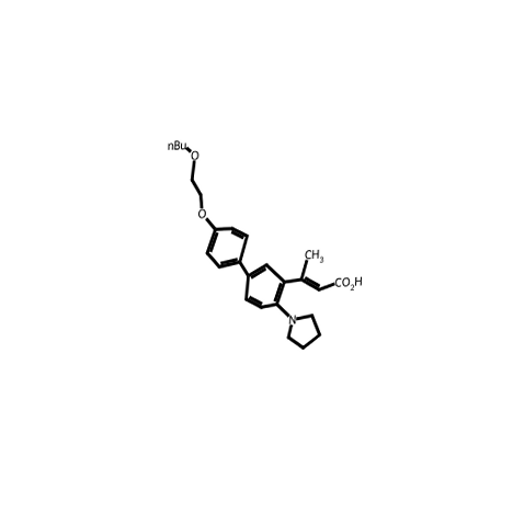 CCCCOCCOc1ccc(-c2ccc(N3CCCC3)c(C(C)=CC(=O)O)c2)cc1